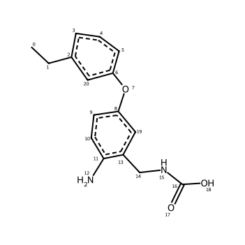 CCc1cccc(Oc2ccc(N)c(CNC(=O)O)c2)c1